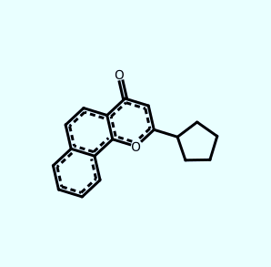 O=c1cc(C2CCCC2)oc2c1ccc1ccccc12